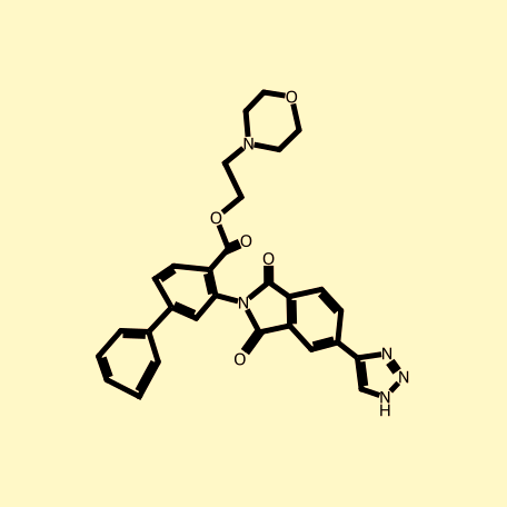 O=C(OCCN1CCOCC1)c1ccc(-c2ccccc2)cc1N1C(=O)c2ccc(-c3c[nH]nn3)cc2C1=O